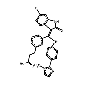 Cn1ccnc1-c1ccc(N/C(=C2\C(=O)Nc3cc(F)ccc32)c2cccc(CCC(=O)O)c2)cc1